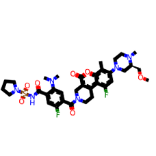 COC[C@H]1CN(c2cc(F)c3c4c(c(=O)oc3c2C)CN(C(=O)c2cc(N(C)C)c(C(=O)NS(=O)(=O)N3CCCC3)cc2F)CC4)CCN1C